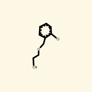 N#CCCOCc1ccccc1Cl